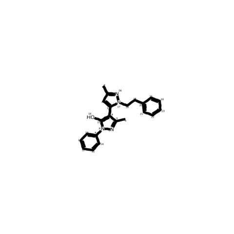 Cc1cc(-c2c(C)nn(-c3ccccc3)c2O)n(CCc2ccccc2)n1